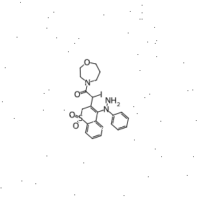 NN(C1=C(C(I)C(=O)N2CCCOCC2)CS(=O)(=O)c2ccccc21)c1ccccc1